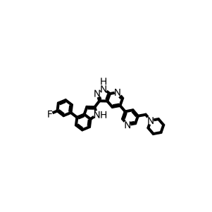 Fc1cccc(-c2cccc3[nH]c(-c4n[nH]c5ncc(-c6cncc(CN7CCCCC7)c6)cc45)cc23)c1